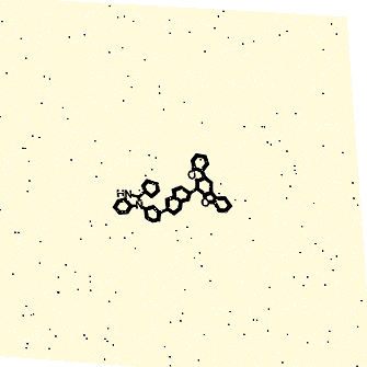 c1ccc(C2Nc3ccccc3N2c2cccc(-c3ccc4cc(-c5c6oc7ccccc7c6cc6c5oc5ccccc56)ccc4c3)c2)cc1